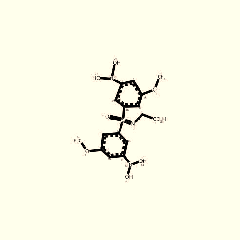 O=C(O)CN=S(=O)(c1cc(OC(F)(F)F)cc(B(O)O)c1)c1cc(OC(F)(F)F)cc(B(O)O)c1